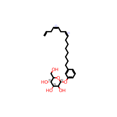 C=CC/C=C\C/C=C\CCCCCCCc1cccc(O[C@@H]2OC(CO)[C@@H](O)[C@H](O)C2O)c1